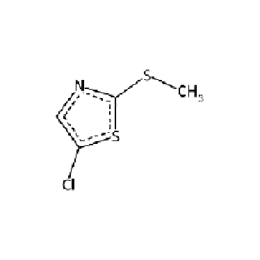 CSc1ncc(Cl)s1